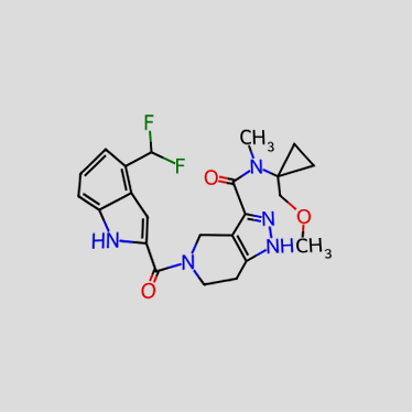 COCC1(N(C)C(=O)c2n[nH]c3c2CN(C(=O)c2cc4c(C(F)F)cccc4[nH]2)CC3)CC1